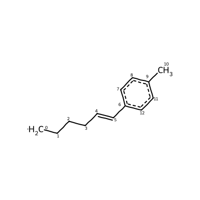 [CH2]CCCC=Cc1ccc(C)cc1